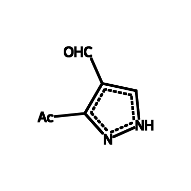 CC(=O)c1n[nH]cc1C=O